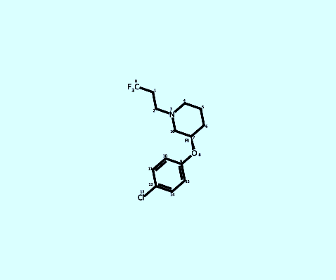 FC(F)(F)CCN1CCC[C@@H](Oc2ccc(Cl)cc2)C1